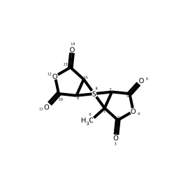 CC12C(=O)OC(=O)C1S21C2C(=O)OC(=O)C21